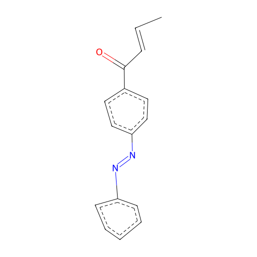 CC=CC(=O)c1ccc(N=Nc2ccccc2)cc1